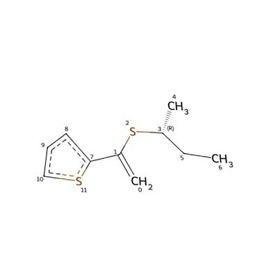 C=C(S[C@H](C)CC)c1cccs1